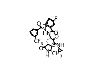 C[C@@H]1C[C@@H](C[C@H](NC(=O)c2cc(F)ccc2NC(=O)c2cccc(C(F)(F)F)c2)C(=O)C(=O)NC2CC2)C(=O)N1